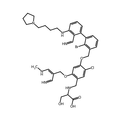 CN/C=C(\C=N)COc1cc(OCc2cccc(-c3cccc(NCCCCN4CCCC4)c3C=N)c2Br)c(Cl)cc1CNC(CO)C(=O)O